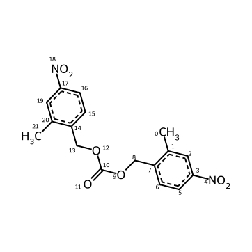 Cc1cc([N+](=O)[O-])ccc1COC(=O)OCc1ccc([N+](=O)[O-])cc1C